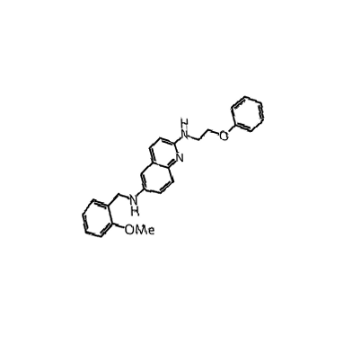 COc1ccccc1CNc1ccc2nc(NCCOc3ccccc3)ccc2c1